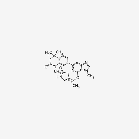 C[C@@H](Oc1nc(-c2ccc3c(c2)N(C)C(=O)CC3(C)C)cc2ncn(C)c12)[C@H]1CNC(=O)C1